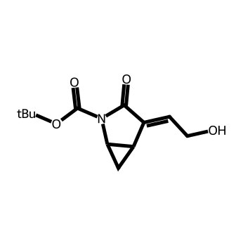 CC(C)(C)OC(=O)N1C(=O)/C(=C/CO)C2CC21